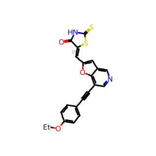 CCOc1ccc(C#Cc2cncc3cc(/C=C4\SC(=S)NC4=O)oc23)cc1